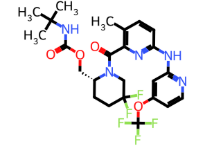 Cc1ccc(Nc2cc(OC(F)(F)F)ccn2)nc1C(=O)N1CC(F)(F)CC[C@@H]1COC(=O)NC(C)(C)C